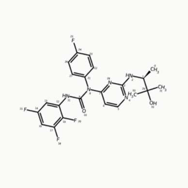 C[C@H](Nc1nccc(N(C(=O)Nc2cc(F)cc(F)c2F)c2ccc(F)cc2)n1)C(C)(C)O